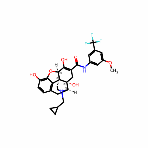 COc1cc(NC(=O)C2=C(O)[C@@H]3Oc4c(O)ccc5c4[C@@]34CCN(CC3CC3)[C@H](C5)[C@]4(O)C2)cc(C(F)(F)F)c1